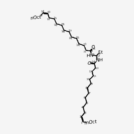 CCCCCCCC/C=C\CCCCCCCCCCCC(=O)NC(CC)NC(=O)CCCCCCCCCCC/C=C\CCCCCCCC